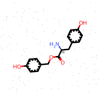 N[C@@H](Cc1ccc(O)cc1)C(=O)OCc1ccc(O)cc1